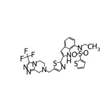 CCN(c1cccc2cc(-c3ncc(CN4CCn5c(nnc5C(F)(F)F)C4)s3)[nH]c12)S(=O)(=O)c1cccs1